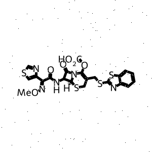 CON=C(C(=O)NC1C(=O)N2C(OC(=O)O)=C(CSc3nc4ccccc4s3)CS[C@@H]12)c1cscn1